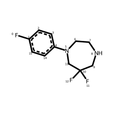 Fc1ccc(N2CCNCC(F)(F)C2)cc1